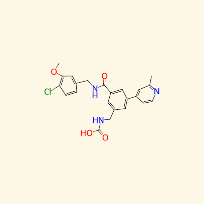 COc1cc(CNC(=O)c2cc(CNC(=O)O)cc(-c3ccnc(C)c3)c2)ccc1Cl